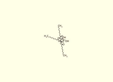 CCCCCCCCC(=O)OC[C@@H](OC(=O)CCCCCCCC)[C@@H](OC(=O)CCCCCCCC)[C@H](O)[C@@H](O)CO